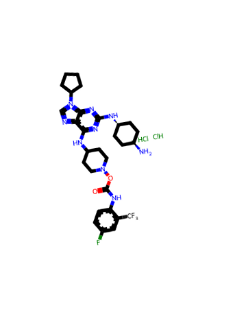 Cl.Cl.N[C@H]1CC[C@H](Nc2nc(NC3CCN(OC(=O)Nc4ccc(F)cc4C(F)(F)F)CC3)c3ncn(C4CCCC4)c3n2)CC1